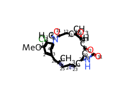 COc1cc2cc(c1Cl)N(C)C(=O)CCC1(C)O[C@H]1CC1CC(C/C=C/C=C(\C)C2)NC(=O)O1